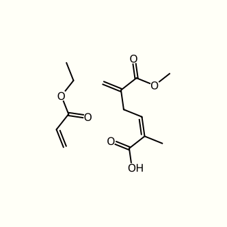 C=C(CC=C(C)C(=O)O)C(=O)OC.C=CC(=O)OCC